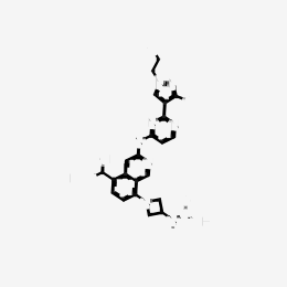 CC(C)c1ccc(N2CC(N(C)[S+](C)[O-])C2)c2cnc(Nc3ccnc(-c4cn(CCO)nc4Cl)n3)cc12